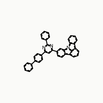 c1ccc(-c2ccc(-c3cc(-c4ccc5c6cccc7c8ccccc8n(c5c4)c76)nc(-c4ccccc4)n3)cc2)cc1